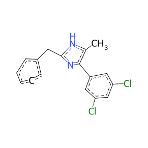 Cc1[nH]c(Cc2ccccc2)nc1-c1cc(Cl)cc(Cl)c1